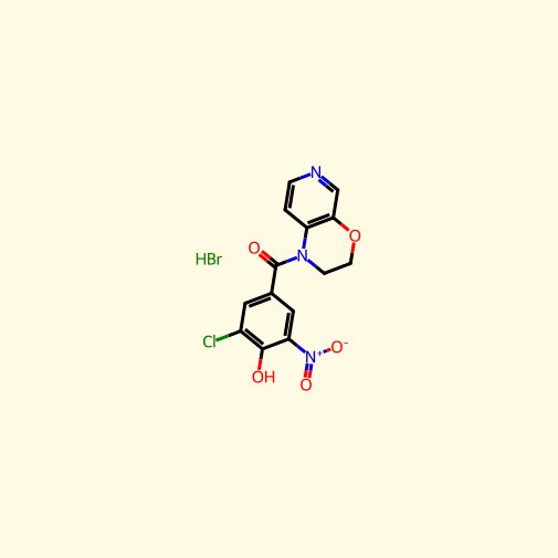 Br.O=C(c1cc(Cl)c(O)c([N+](=O)[O-])c1)N1CCOc2cnccc21